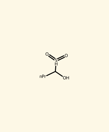 CCCC(O)[SH](=O)=O